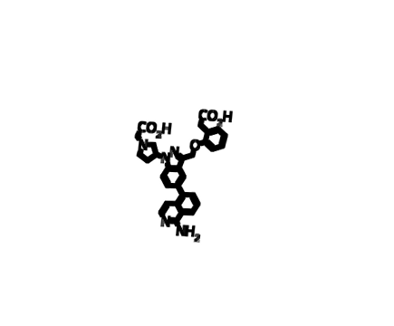 Nc1nccc2c(-c3ccc4c(c3)c(COc3ccccc3CC(=O)O)nn4C3CCN(CC(=O)O)C3)cccc12